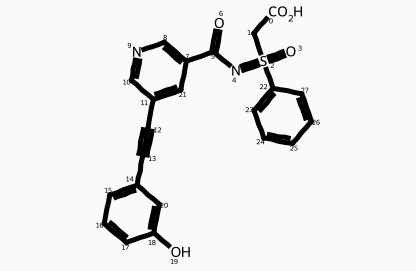 O=C(O)CS(=O)(=NC(=O)c1cncc(C#Cc2cccc(O)c2)c1)c1ccccc1